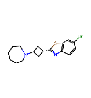 Brc1ccc2nc([C@H]3C[C@H](N4CCCCCC4)C3)sc2c1